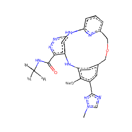 [2H]C([2H])([2H])NC(=O)c1nnc2cc1Nc1cc(cc(-c3ncn(C)n3)c1OC)COCc1cccc(n1)N2